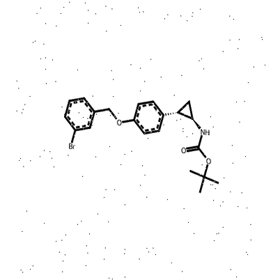 CC(C)(C)OC(=O)N[C@@H]1C[C@H]1c1ccc(OCc2cccc(Br)c2)cc1